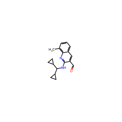 Cc1cccc2cc(C=O)c(NC(C3CC3)C3CC3)nc12